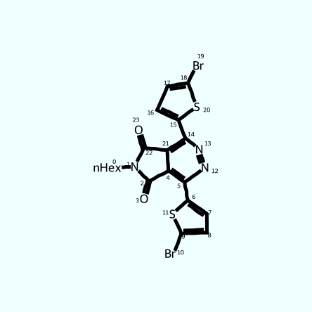 CCCCCCN1C(=O)c2c(-c3ccc(Br)s3)nnc(-c3ccc(Br)s3)c2C1=O